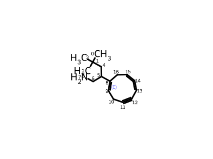 CC(C)(C)CC(CN)/C1=C/CC#CC=C=CC1